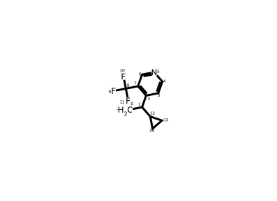 [CH2]C(c1ccncc1C(F)(F)F)C1CC1